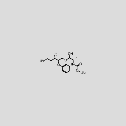 CC[C@@H](CCC(C)C)[C@H](Oc1ccccc1)[C@H](C)OC(O)[C@H](C)NC(=O)OC(C)(C)C